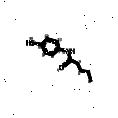 CCCCC(=O)Nc1ccc(S)cc1